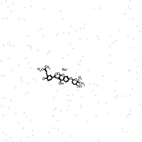 CC(C)=CCc1cc(C(=O)Nc2c(O)c3ccc(OC4CCC(O)C(C)(C)O4)cc3oc2=O)ccc1[O-].[Na+]